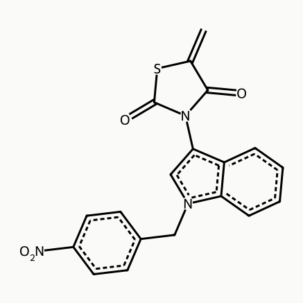 C=C1SC(=O)N(c2cn(Cc3ccc([N+](=O)[O-])cc3)c3ccccc23)C1=O